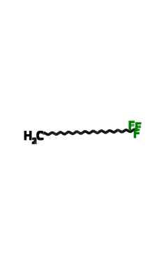 C=CCCCCCCCCCCCCCCCCCCCCCC(F)(F)F